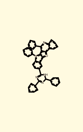 c1ccc(C2=NC(c3ccccc3)NC(c3ccc4c(c3)c3oc5c6ccccc6nc(-c6ccccc6)c5c3n4-c3ccccc3)=N2)cc1